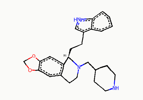 c1ccc2c(CC[C@@H]3c4cc5c(cc4CCN3CC3CCNCC3)OCO5)c[nH]c2c1